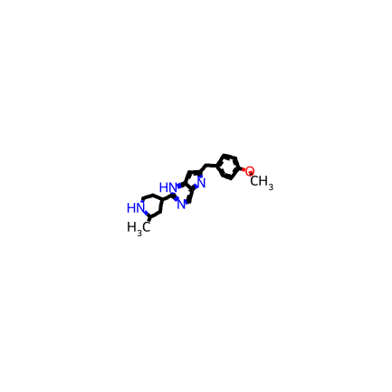 COc1ccc(Cc2cc3[nH]c(C4CCNC(C)C4)ncc-3n2)cc1